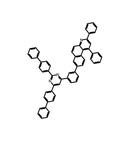 c1ccc(-c2ccc(-c3cc(-c4cccc(-c5ccc6c(ccc7nc(-c8ccccc8)cc(-c8ccccc8)c76)c5)c4)nc(-c4ccc(-c5ccccc5)cc4)n3)cc2)cc1